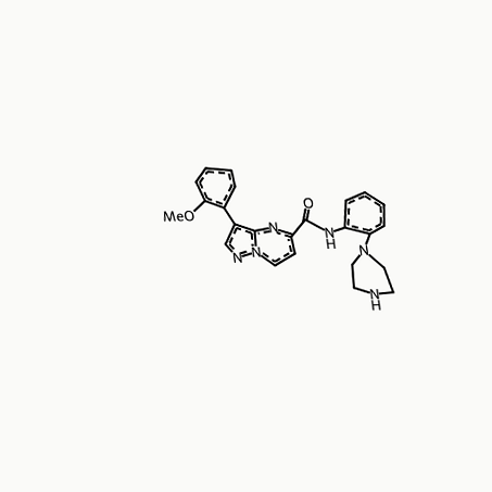 COc1ccccc1-c1cnn2ccc(C(=O)Nc3ccccc3N3CCNCC3)nc12